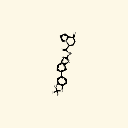 O=C1CCC(C(=O)Nc2nc3ccc(-c4ccc5c(c4)OC(F)(F)O5)cc3s2)n2cccc21